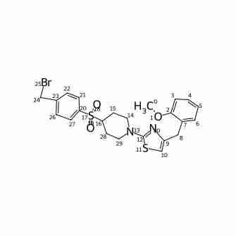 COc1ccccc1Cc1csc(N2CCC(S(=O)(=O)c3ccc(CBr)cc3)CC2)n1